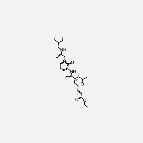 CCOC(=O)/C=C/CC[C@H](NC(C)=O)C(=O)Nc1cccn(CC(=O)NCC(CC)CC)c1=O